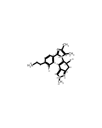 Cc1nc(-c2ccc(CCN)c(F)c2)n(C2=Cc3cn(C)nc3CC2F)c1C